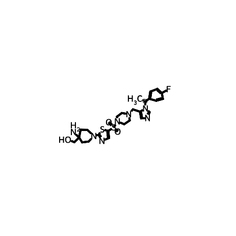 C[C@H](c1ccc(F)cc1)n1cncc1CN1CCN(S(=O)(=O)c2cnc(N3CCC(N)(CO)CC3)s2)CC1